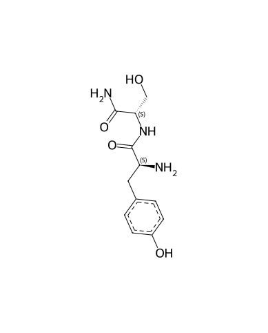 NC(=O)[C@H](CO)NC(=O)[C@@H](N)Cc1ccc(O)cc1